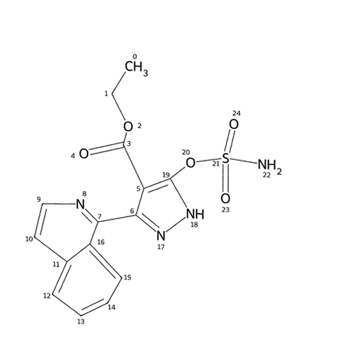 CCOC(=O)c1c(-c2nccc3ccccc23)n[nH]c1OS(N)(=O)=O